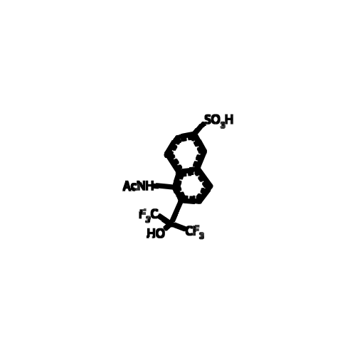 CC(=O)Nc1c(C(O)(C(F)(F)F)C(F)(F)F)ccc2cc(S(=O)(=O)O)ccc12